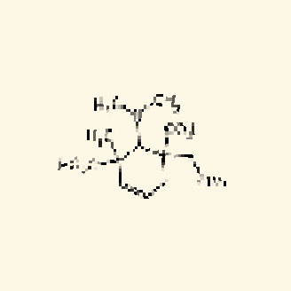 COCC1(C(=O)O)CC=CC(C)(C(=O)O)C1N(C)C